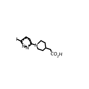 O=C(O)CC1CCN(c2ccc(I)nn2)CC1